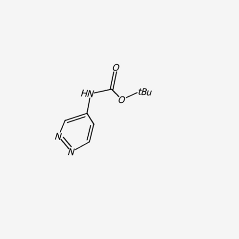 CC(C)(C)OC(=O)Nc1ccnnc1